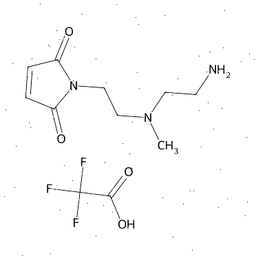 CN(CCN)CCN1C(=O)C=CC1=O.O=C(O)C(F)(F)F